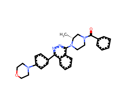 C[C@@H]1CN(C(=O)c2ccccc2)CCN1c1nnc(-c2ccc(N3CCOCC3)cc2)c2ccccc12